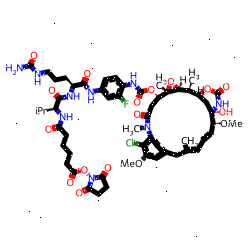 COc1cc2cc(c1Cl)N(C)C(=O)C[C@H](OC(=O)Nc1ccc(NC(=O)[C@H](CCCNC(N)=O)NC(=O)[C@@H](NC(=O)CCCCC(=O)ON3C(=O)CCC3=O)C(C)C)cc1F)[C@]1(C)O[C@H]1[C@H](C)[C@@H]1C[C@@](O)(NC(=O)O1)[C@H](OC)/C=C/C=C(\C)C2